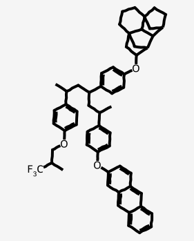 CC(CC(CC(C)c1ccc(Oc2ccc3cc4ccccc4cc3c2)cc1)c1ccc(OC2CC34CCCC56CCC(C5)C(C2C3)C64)cc1)c1ccc(OCC(C)C(F)(F)F)cc1